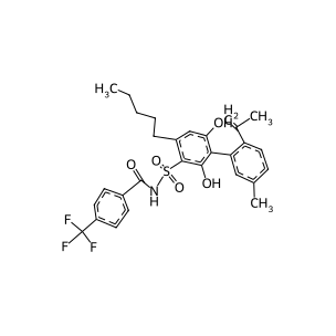 C=C(C)c1ccc(C)cc1-c1c(O)cc(CCCCC)c(S(=O)(=O)NC(=O)c2ccc(C(F)(F)F)cc2)c1O